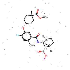 COc1cc(F)c(O[C@H]2CC[C@@](C)(C(=O)OC(C)(C)C)CC2)cc1C(=O)N[C@@H]1[C@H]2CC[C@H](C2)[C@@H]1C(=O)OI